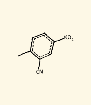 Cc1c[c]c([N+](=O)[O-])cc1C#N